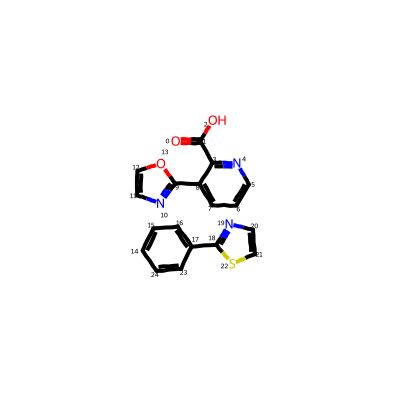 O=C(O)c1ncccc1-c1ncco1.c1ccc(-c2nccs2)cc1